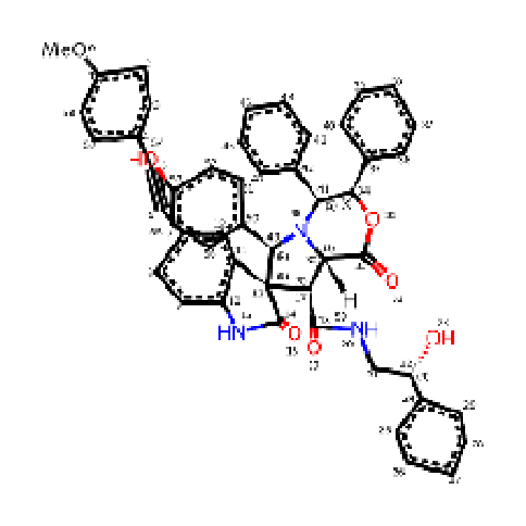 COc1ccc(C#Cc2ccc3c(c2)[C@]2(C(=O)N3)[C@H](C(=O)NC[C@H](O)c3ccccc3)[C@H]3C(=O)O[C@H](c4ccccc4)[C@H](c4ccccc4)N3[C@@H]2c2ccc(O)cc2)cc1